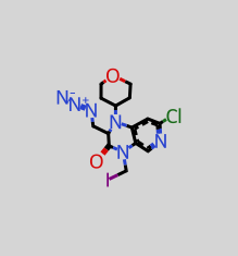 [N-]=[N+]=NCC1C(=O)N(CI)c2cnc(Cl)cc2N1C1CCOCC1